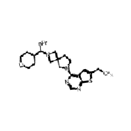 CCCC(C1CCOCC1)N1CC2(CCN(c3ncnc4sc(CC(F)(F)F)cc34)C2)C1